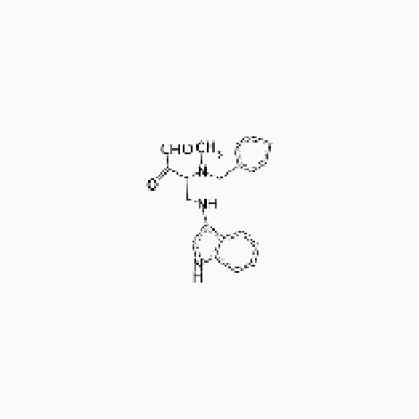 CN(Cc1ccccc1)C(CNc1c[nH]c2ccccc12)C(=O)C=O